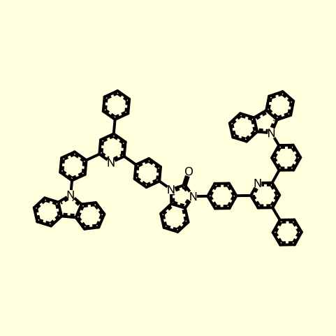 O=c1n(-c2ccc(-c3cc(-c4ccccc4)cc(-c4cccc(-n5c6ccccc6c6ccccc65)c4)n3)cc2)c2ccccc2n1-c1ccc(-c2cc(-c3ccccc3)cc(-c3cccc(-n4c5ccccc5c5ccccc54)c3)n2)cc1